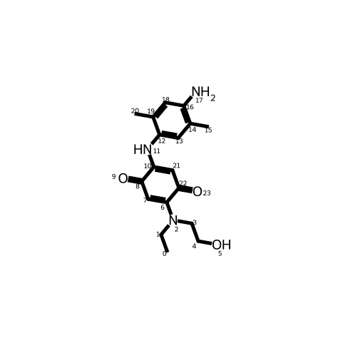 CCN(CCO)C1=CC(=O)C(Nc2cc(C)c(N)cc2C)=CC1=O